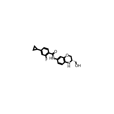 O=C(Nc1ccc2c(c1)OC[C@H](CO)N2)c1ccc(C2CC2)cc1F